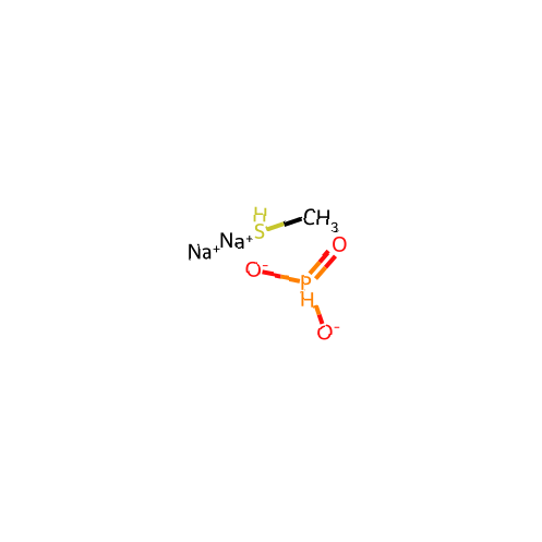 CS.O=[PH]([O-])[O-].[Na+].[Na+]